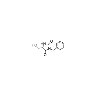 O=C1NC(CO)C(=O)N1Cc1ccccc1